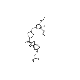 CCOc1cc(CN2CCC(Nc3nc4cc(OCC(=O)OC)ccc4o3)CC2)cc(OCC)c1F